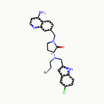 CCC(C)CCN(Cc1cc2cc(Cl)ccc2[nH]1)[C@@H]1CCN(Cc2ccc3c(N)ccnc3c2)C1=O